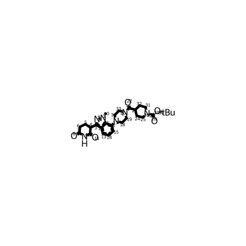 Cn1nc(C2CCC(=O)NC2=O)c2cccc(N3CCN(C(=O)C4CCN(C(=O)OC(C)(C)C)CC4)CC3)c21